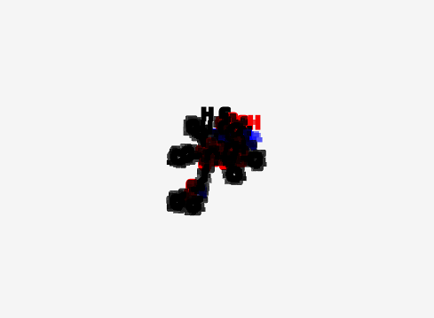 CC(=O)O[C@H]1[C@@H](O)[C@H](N=[N+]=[N-])[C@H](O[C@@H]2[C@@H](N=[N+]=[N-])[C@@H](O[C@@H]3[C@H](OCc4ccc5ccccc5c4)[C@@H](OCc4ccc5ccccc5c4)[C@@H](OCCCCCN(Cc4ccccc4)C(=O)OCc4ccccc4)O[C@@H]3COCc3ccccc3)O[C@@H]3CO[C@H](c4ccccc4)O[C@H]23)O[C@H]1C